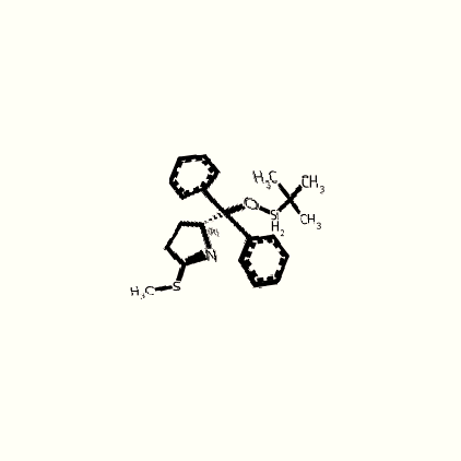 CSC1=N[C@@H](C(O[SiH2]C(C)(C)C)(c2ccccc2)c2ccccc2)CC1